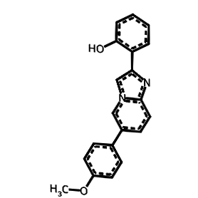 COc1ccc(-c2ccc3nc(-c4ccccc4O)cn3c2)cc1